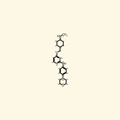 CNC1CCC(COc2ccnc(Nc3ccc(N4CCOCC4)cc3)n2)CC1